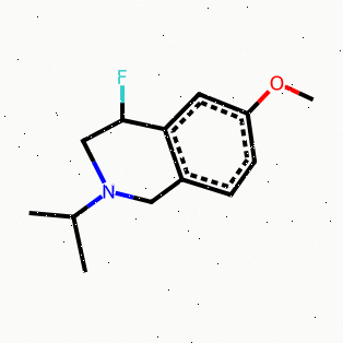 COc1ccc2c(c1)C(F)CN(C(C)C)C2